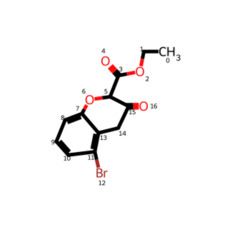 CCOC(=O)C1Oc2cccc(Br)c2CC1=O